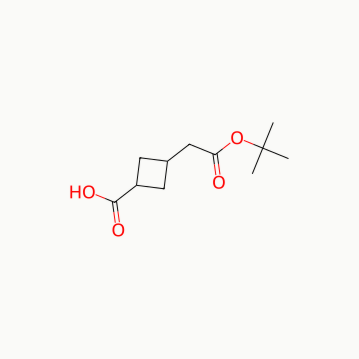 CC(C)(C)OC(=O)CC1CC(C(=O)O)C1